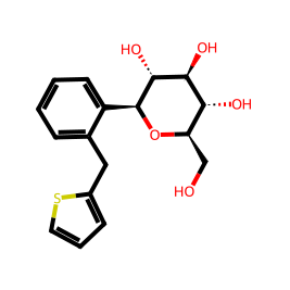 OC[C@H]1O[C@@H](c2ccccc2Cc2cccs2)[C@H](O)[C@@H](O)[C@@H]1O